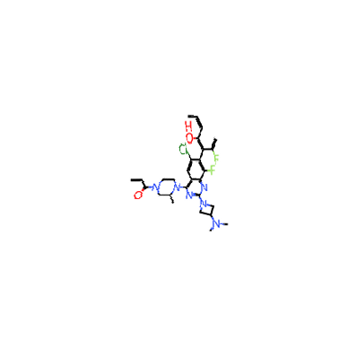 C=CC(=O)N1CCN(c2nc(N3CC(N(C)C)C3)nc3c(F)c(/C(C(=C)F)=C(O)/C=C\C)c(Cl)cc23)[C@@H](C)C1